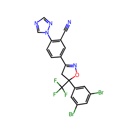 N#Cc1cc(C2=NOC(c3cc(Br)cc(Br)c3)(C(F)(F)F)C2)ccc1-n1cncn1